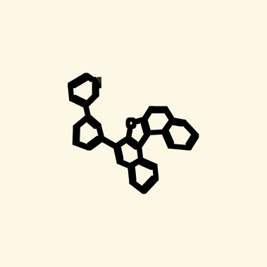 c1cncc(-c2cccc(-c3cc4ccccc4c4c3oc3ccc5ccccc5c34)c2)c1